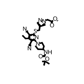 CCc1c(C#N)c(SCc2cnn(CC(=O)OC)c2)nc(N2CCC(NC(=O)OC(C)(C)C)CC2)c1C#N